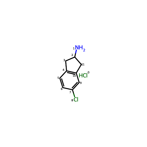 Cl.NC1Cc2ccc(Cl)cc2C1